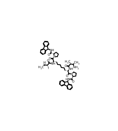 CN[C@@H](I)C(=O)N[C@@H](CCCCCC[C@H](NC(=O)[C@H](C)C(C)N)C(=O)N1CCC[C@H]1C(=O)NC1c2ccccc2-c2ccccc21)C(=O)N1CCC[C@H]1C(=O)NC1c2ccccc2-c2ccccc21